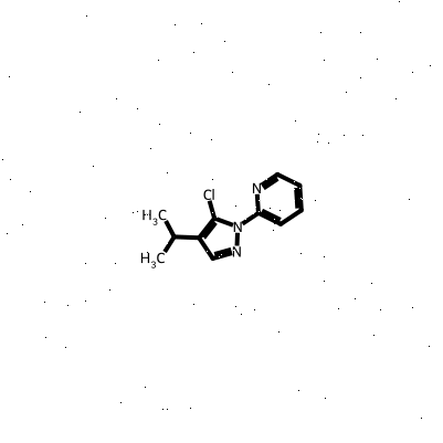 CC(C)c1cnn(-c2ccccn2)c1Cl